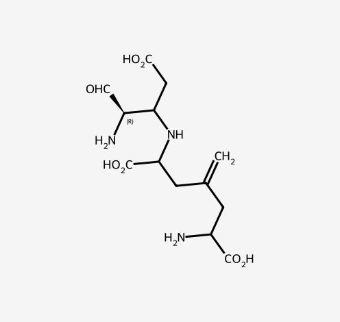 C=C(CC(N)C(=O)O)CC(NC(CC(=O)O)[C@@H](N)C=O)C(=O)O